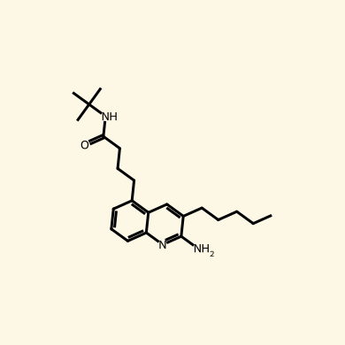 CCCCCc1cc2c(CCCC(=O)NC(C)(C)C)cccc2nc1N